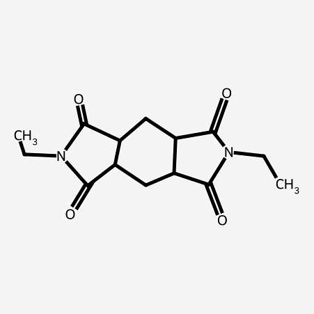 CCN1C(=O)C2CC3C(=O)N(CC)C(=O)C3CC2C1=O